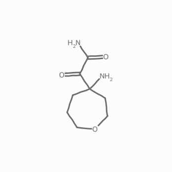 NC(=O)C(=O)C1(N)CCCOCC1